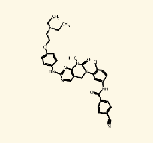 CCN(CC)CCOc1ccc(Nc2ncc3c(n2)N(C)C(=O)N(c2cc(NC(=O)c4ccc(C#N)cc4)ccc2Cl)C3)cc1